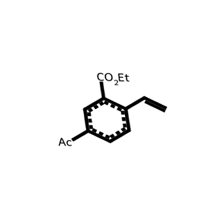 C=Cc1ccc(C(C)=O)cc1C(=O)OCC